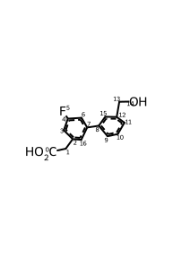 O=C(O)Cc1cc(F)cc(-c2cccc(CO)c2)c1